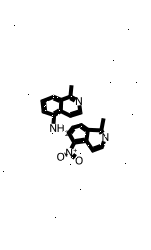 Cc1nccc2c(N)cccc12.Cc1nccc2c([N+](=O)[O-])cccc12